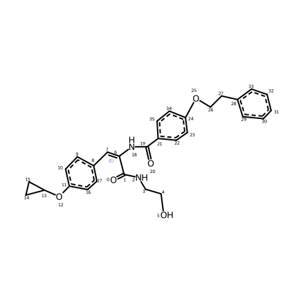 O=C(NCCO)/C(=C\c1ccc(OC2CC2)cc1)NC(=O)c1ccc(OCCc2ccccc2)cc1